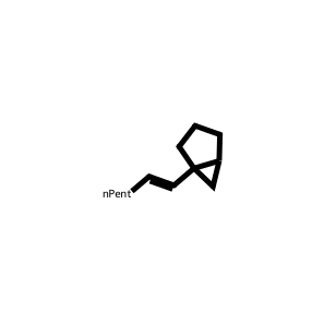 CCCCCC=CC12CCCC1C2